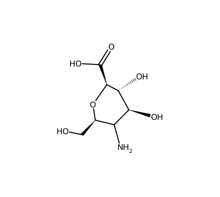 NC1[C@@H](CO)O[C@@H](C(=O)O)[C@H](O)[C@H]1O